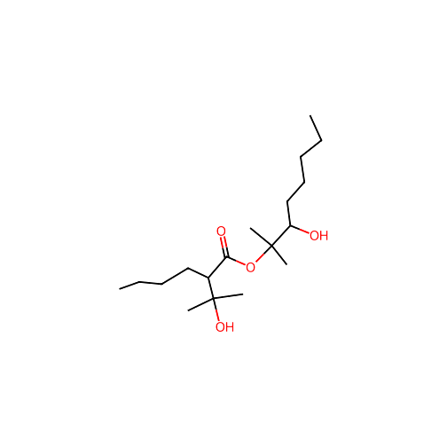 CCCCCC(O)C(C)(C)OC(=O)C(CCCC)C(C)(C)O